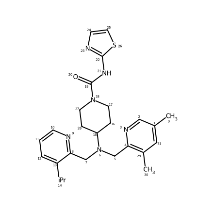 Cc1cnc(CN(Cc2ncccc2C(C)C)C2CCN(C(=O)Nc3nccs3)CC2)c(C)c1